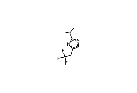 CC(C)c1nc(CC(F)(F)F)cs1